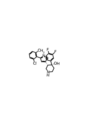 Cc1cccc(Cl)c1-c1cc([C@H]2CNCC[C@]2(O)c2ccc(F)c(F)c2)on1